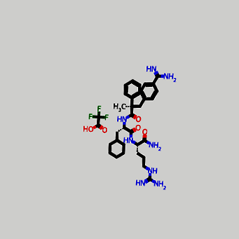 C[C@](Cc1ccc(C(=N)N)cc1)(C(=O)N[C@@H](CC1CCCCC1)C(=O)N[C@@H](CCCNC(=N)N)C(N)=O)c1ccccc1.O=C(O)C(F)(F)F